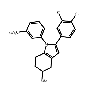 CC(C)(C)C1CCc2c(cc(-c3ccc(Cl)c(Cl)c3)n2-c2cccc(C(=O)O)c2)C1